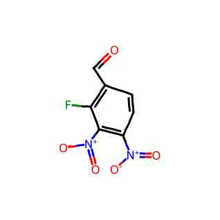 O=Cc1ccc([N+](=O)[O-])c([N+](=O)[O-])c1F